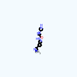 Cn1cc(-c2ccc3cnc(NC(=O)c4cnn(C5CCNCC5)c4)cc3c2)cn1